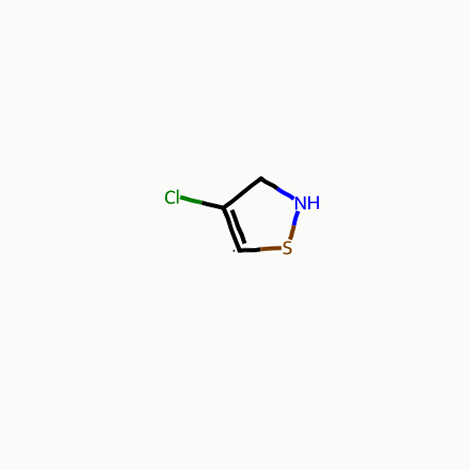 ClC1=[C]SNC1